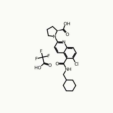 O=C(NCC1CCCCC1)c1c(Cl)ccc2nc(N3CCC[C@H]3C(=O)O)ccc12.O=C(O)C(F)(F)F